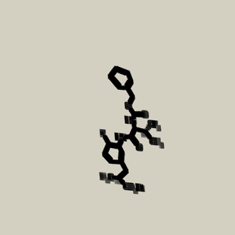 CCOC(=O)[C@@H](C)Cc1ccc(F)c(NC(=O)C(NC(=O)OCc2ccccc2)[C@@H](C)C(F)(F)F)c1